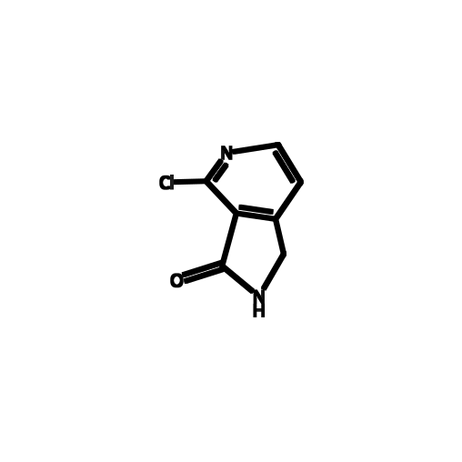 O=C1NCc2ccnc(Cl)c21